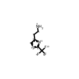 NCCc1csc(C(F)(F)F)n1